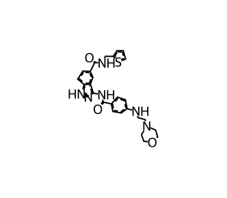 O=C(NCc1cccs1)c1ccc2[nH]nc(NC(=O)c3ccc(NCCN4CCOCC4)cc3)c2c1